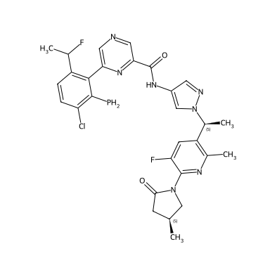 Cc1nc(N2C[C@@H](C)CC2=O)c(F)cc1[C@H](C)n1cc(NC(=O)c2cncc(-c3c(C(C)F)ccc(Cl)c3P)n2)cn1